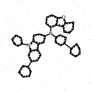 c1ccc(-c2ccc(N(c3ccc4c(c3)c3ccc(-c5ccccc5)cc3n4-c3ccccc3)c3cccc4oc5ccccc5c34)cc2)cc1